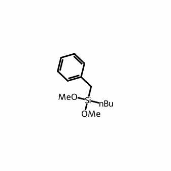 CCCC[Si](Cc1ccccc1)(OC)OC